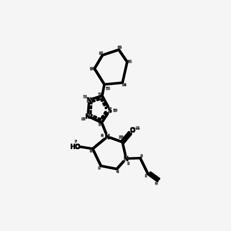 C=CCN1CCC(O)N(c2nnc(C3CCCCC3)s2)C1=O